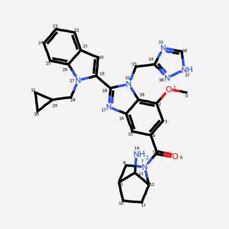 COc1cc(C(=O)N2CC3CCC2C3N)cc2nc(-c3cc4ccccc4n3CC3CC3)n(Cc3nc[nH]n3)c12